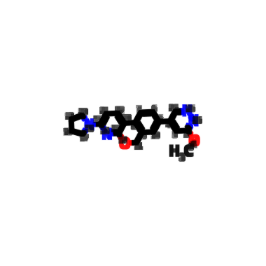 COc1cc(-c2ccc3c(c2)COc2nc(N4CCCC4)ccc2-3)cnn1